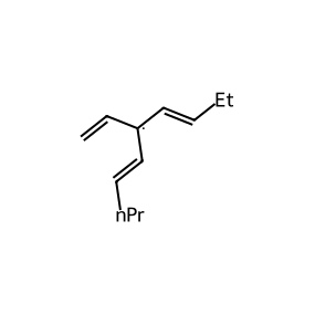 C=C[C](C=CCC)C=CCCC